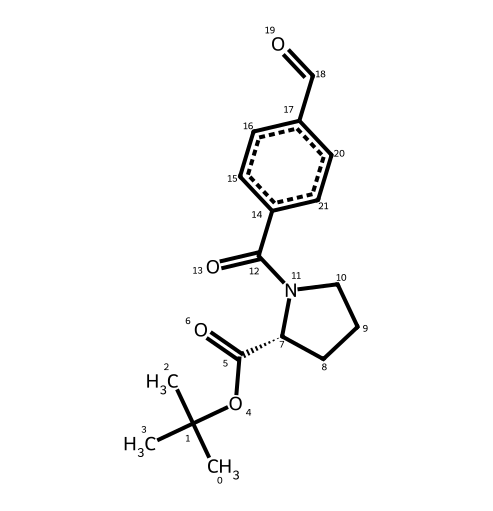 CC(C)(C)OC(=O)[C@H]1CCCN1C(=O)c1ccc(C=O)cc1